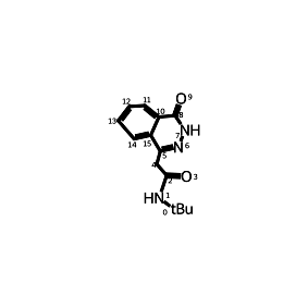 CC(C)(C)NC(=O)Cc1n[nH]c(=O)c2ccccc12